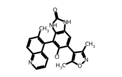 Cc1ccc2ncccc2c1-c1c(Cl)c(-c2c(C)noc2C)cc2[nH]c(=O)[nH]c12